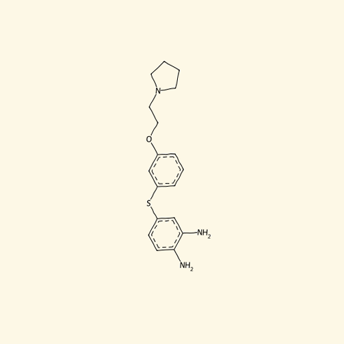 Nc1ccc(Sc2cccc(OCCN3CCCC3)c2)cc1N